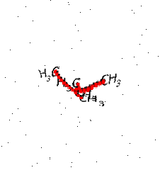 CCCCCCCCCCCCCCCC(CCCCCC)CC(C)(CCCC)CCCCCCCCCCCCCC